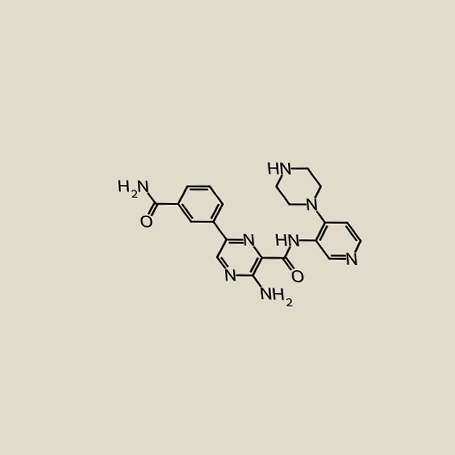 NC(=O)c1cccc(-c2cnc(N)c(C(=O)Nc3cnccc3N3CCNCC3)n2)c1